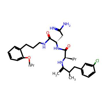 C=C(N[C@@H](C(=O)N[C@@H](CC(=N)N)C(=O)NCCCc1ccccc1OCCC)C(C)C)[C@H](C)Cc1cccc(Cl)c1